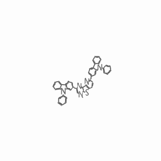 c1ccc(-n2c3ccccc3c3ccc(-c4ccc5sc6ncc(-c7ccc8c9ccccc9n(-c9ccccc9)c8c7)nc6c5n4)cc32)cc1